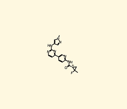 Cn1cc(Nc2nccc(-c3ccc(NC(=O)[C@H]4CC4(C)F)nc3)n2)cn1